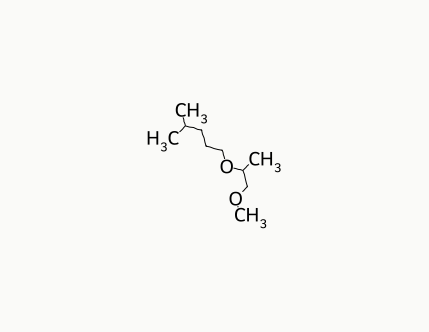 COCC(C)OCCCC(C)C